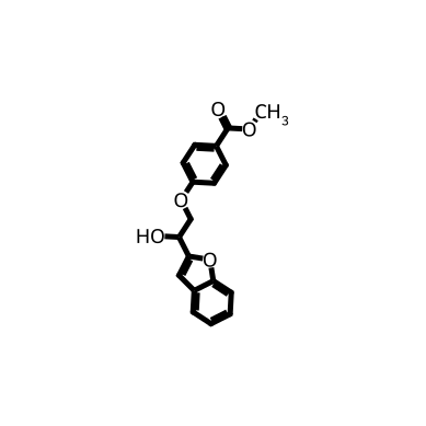 COC(=O)c1ccc(OCC(O)c2cc3ccccc3o2)cc1